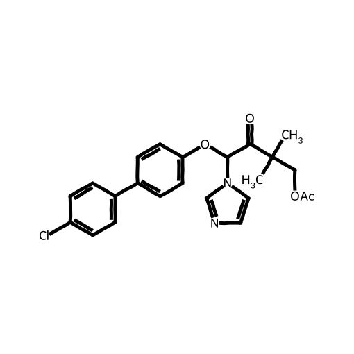 CC(=O)OCC(C)(C)C(=O)C(Oc1ccc(-c2ccc(Cl)cc2)cc1)n1ccnc1